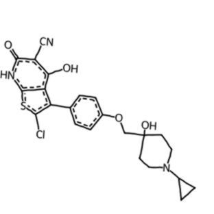 N#Cc1c(O)c2c(-c3ccc(OCC4(O)CCN(C5CC5)CC4)cc3)c(Cl)sc2[nH]c1=O